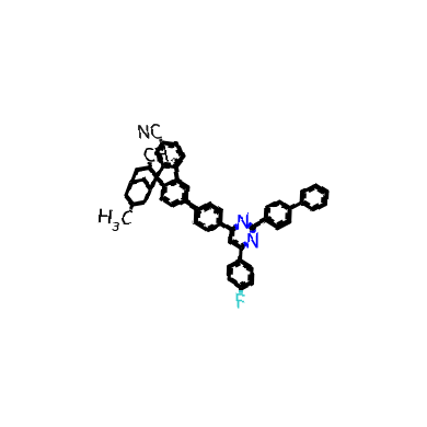 CC1CC2CC(C)C3(c4ccc(-c5ccc(-c6cc(-c7ccc(F)cc7)nc(-c7ccc(-c8ccccc8)cc7)n6)cc5)cc4-c4ccc(C#N)cc43)C(C1)C2